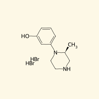 Br.Br.C[C@H]1CNCCN1c1cccc(O)c1